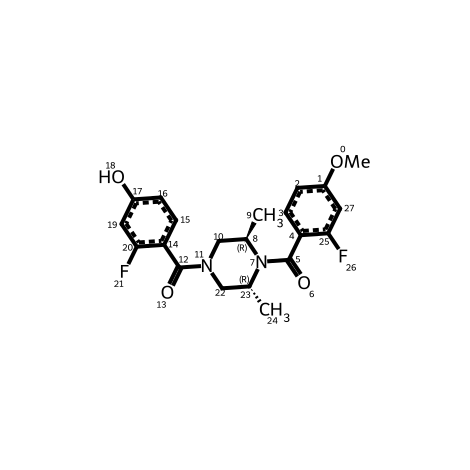 COc1ccc(C(=O)N2[C@H](C)CN(C(=O)c3ccc(O)cc3F)C[C@H]2C)c(F)c1